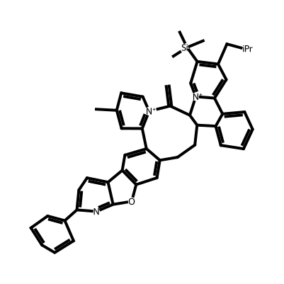 C=C1C2C(CCc3cc4oc5nc(-c6ccccc6)ccc5c4cc3-c3cc(C)cc[n+]31)c1ccccc1-c1cc(CC(C)C)c([Si](C)(C)C)c[n+]12